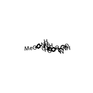 COc1ccc(NC(=O)N[C@@H]2[C@H]3Oc4ccc(Oc5ccnc6c5CCC(=O)N6)cc4[C@@H]23)cc1